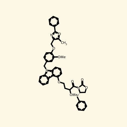 COc1cc(Cn2c3ccccc3c3c(OCCC(OC)C(=O)N4C(=O)OC[C@@H]4Cc4ccccc4)cccc32)ccc1OCc1nc(-c2ccccc2)oc1C